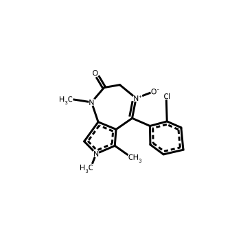 Cc1c2c(cn1C)N(C)C(=O)C[N+]([O-])=C2c1ccccc1Cl